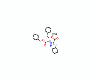 CC(C)(C)OC(=O)[C@H](Cc1ccccc1)N[C@@H](CCc1ccccc1)C(=O)OCc1ccccc1